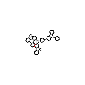 CC1(C)c2ccccc2-c2ccc(N(c3ccc(-c4ccc5c(c4)c4ccccc4n5-c4ccccc4)cc3)c3ccc4oc5cccc6c7ccccc7c3c4c56)cc21